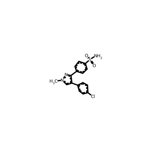 Cn1cc(-c2ccc(Cl)cc2)c(-c2ccc(S(N)(=O)=O)cc2)n1